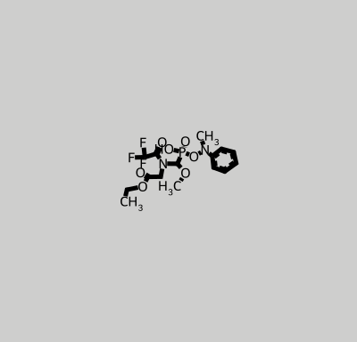 CCOC(=O)CN(C(=O)C(F)(F)F)C(OC)P(=O)(O)ON(C)c1ccccc1